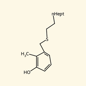 CCCCCCCCCSCc1cccc(O)c1C